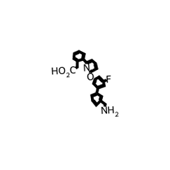 NCc1cccc(-c2cc(F)cc(Oc3cccc(-c4ccccc4CC(=O)O)n3)c2)c1